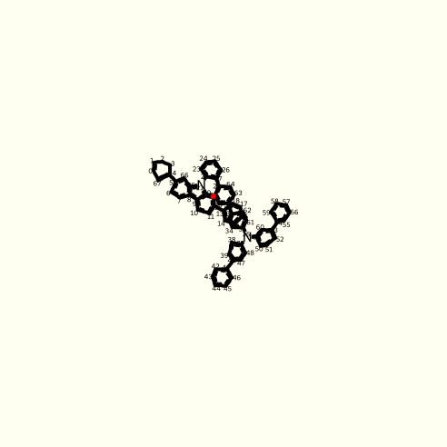 C1=CCCC(c2ccc3c4ccc(-c5ccccc5)cc4n(-c4ccccc4-c4ccc(-c5ccc(N(c6ccc(-c7ccccc7)cc6)c6cccc(-c7ccccc7)c6)cc5)cc4)c3c2)=C1